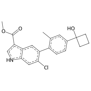 COC(=O)c1c[nH]c2cc(Cl)c(-c3ccc(C4(O)CCC4)cc3C)cc12